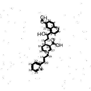 COc1ccc2nccc([C@H](O)CC[C@@H]3CCN(CCCc4ccccn4)C[C@@H]3C(=O)O)c2c1